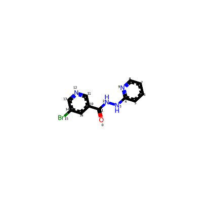 O=C(NNc1ccccn1)c1cncc(Br)c1